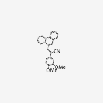 COc1ccc(/C(C#N)=C/c2cc3ccccc3c3ccccc23)cc1OC